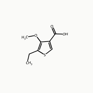 CCc1scc(C(=O)O)c1OC